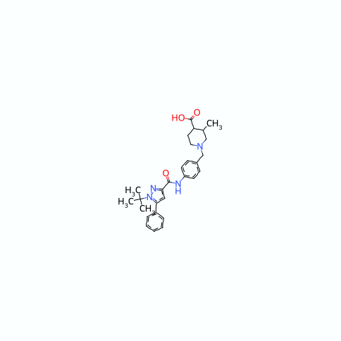 CC1CN(Cc2ccc(NC(=O)c3cc(-c4ccccc4)n(C(C)(C)C)n3)cc2)CCC1C(=O)O